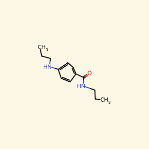 CCCNC(=O)c1ccc(NCCC)cc1